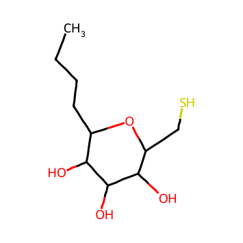 CCCCC1OC(CS)C(O)C(O)C1O